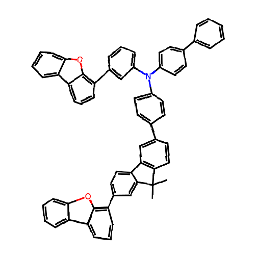 CC1(C)c2ccc(-c3ccc(N(c4ccc(-c5ccccc5)cc4)c4cccc(-c5cccc6c5oc5ccccc56)c4)cc3)cc2-c2ccc(-c3cccc4c3oc3ccccc34)cc21